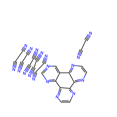 N#CC#N.N#CC#N.N#CC#N.N#CC#N.N#CC#N.N#CC#N.c1cnc2c(n1)c1cncnc1c1nccnc21